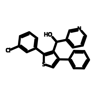 OC(c1cccnc1)c1c(-c2ccccc2)csc1-c1cccc(Cl)c1